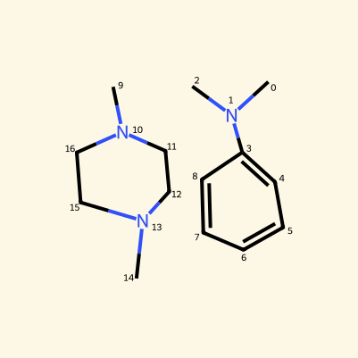 CN(C)c1ccccc1.CN1CCN(C)CC1